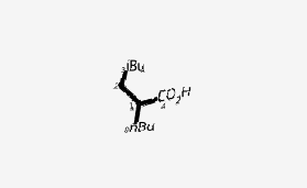 CCCCC(CC(C)CC)C(=O)O